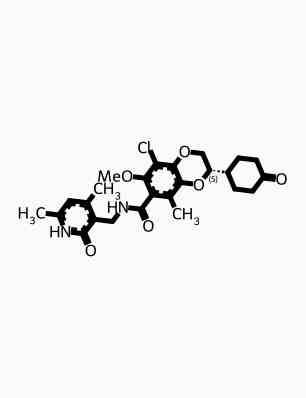 COc1c(Cl)c2c(c(C)c1C(=O)NCc1c(C)cc(C)[nH]c1=O)O[C@@H](C1CCC(=O)CC1)CO2